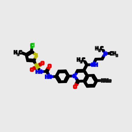 CNc1ccc2c(=O)n(-c3ccc(NC(=O)NS(=O)(=O)c4cc(C)c(Cl)s4)cc3)cc(C(C)NCCN(C)C)c2c1